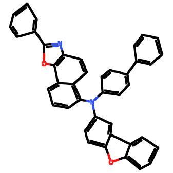 c1ccc(-c2ccc(N(c3ccc4oc5ccccc5c4c3)c3cccc4c3ccc3nc(-c5ccccc5)oc34)cc2)cc1